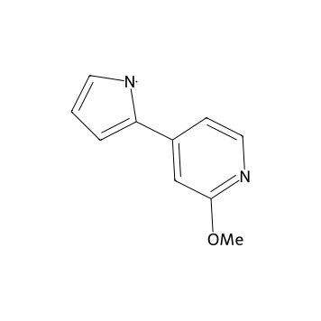 COc1cc(C2=CC=C[N]2)ccn1